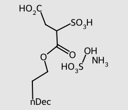 CCCCCCCCCCCCOC(=O)C(CC(=O)O)S(=O)(=O)O.N.O=S(=O)(O)O